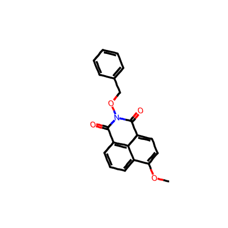 COc1ccc2c3c(cccc13)C(=O)N(OCc1ccccc1)C2=O